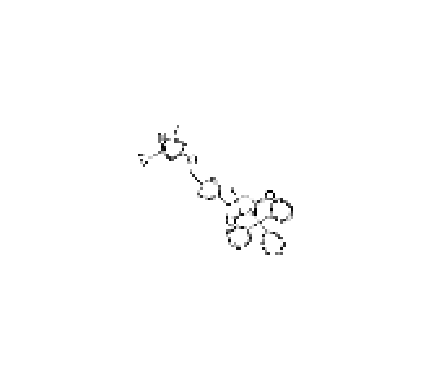 Cc1cc(OCc2ccc([C@@H](C)[C@]3(C)CC(=O)N(C(c4ccccc4)(c4ccccc4)c4ccccc4)C3=O)cc2)cc(C2CC2)n1